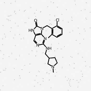 Cc1cccc(Cl)c1Cn1c(=O)[nH]c2cnc(NCC3CCN(C)C3)nc21